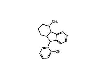 CN1CCCC2C(c3ccccc3O)c3ccccc3C21